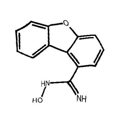 N=C(NO)c1cccc2oc3ccccc3c12